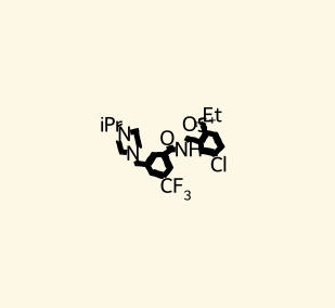 CC[S+]([O-])c1ccc(Cl)cc1CNC(=O)c1cc(CN2CCN(C(C)C)CC2)cc(C(F)(F)F)c1